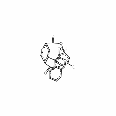 O=C1Oc2ccc(c(Cl)c2)OC(=O)c2ccc1cc2-c1c(C(=O)O)ccc2ccccc12